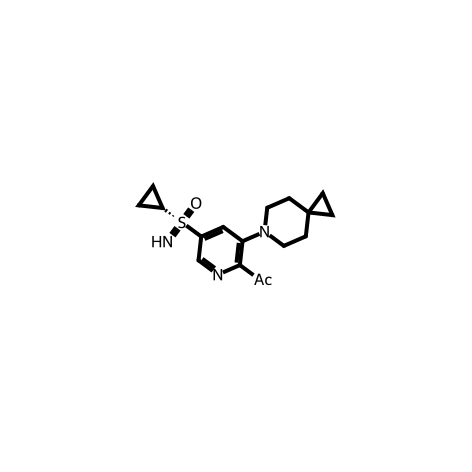 CC(=O)c1ncc([S@@](=N)(=O)C2CC2)cc1N1CCC2(CC1)CC2